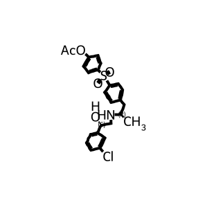 CC(=O)Oc1ccc(S(=O)(=O)c2ccc(C[C@@H](C)NC[C@@H](O)c3cccc(Cl)c3)cc2)cc1